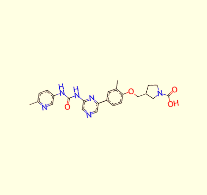 Cc1ccc(NC(=O)Nc2cncc(-c3ccc(OCC4CCN(C(=O)O)C4)c(C)c3)n2)cn1